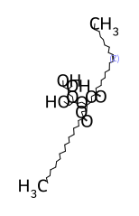 CCCCCCCC/C=C\CCCCCCCC(=O)OCC(COC(=O)CCCCCCCCCCCCCCCCC)OCC(CO)OCC(O)CO